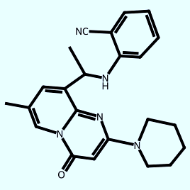 Cc1cc(C(C)Nc2ccccc2C#N)c2nc(N3CCCCC3)cc(=O)n2c1